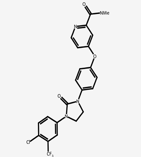 CNC(=O)c1cc(Oc2ccc(N3CCN(c4ccc(Cl)c(C(F)(F)F)c4)C3=O)cc2)ccn1